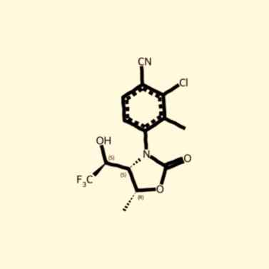 Cc1c(N2C(=O)O[C@H](C)[C@@H]2[C@H](O)C(F)(F)F)ccc(C#N)c1Cl